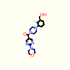 O=C(c1cnc(N2CCOCC2)nc1)N1CCN(c2cccc(CO)c2F)CC1